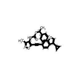 Cc1noc(C#Cc2ccc3c(C4CC4)coc3c2)c1NC(=O)OC(C)c1ccccc1